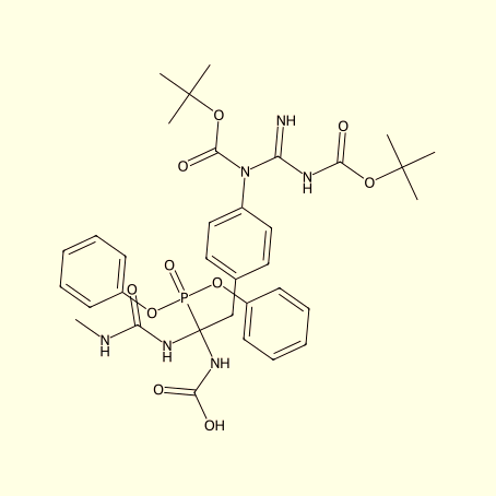 CNC(=O)NC(Cc1ccc(N(C(=N)NC(=O)OC(C)(C)C)C(=O)OC(C)(C)C)cc1)(NC(=O)O)P(=O)(Oc1ccccc1)Oc1ccccc1